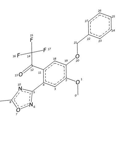 COc1cc(-c2noc(C)n2)c(C(=O)C(F)(F)F)cc1OCc1ccccc1